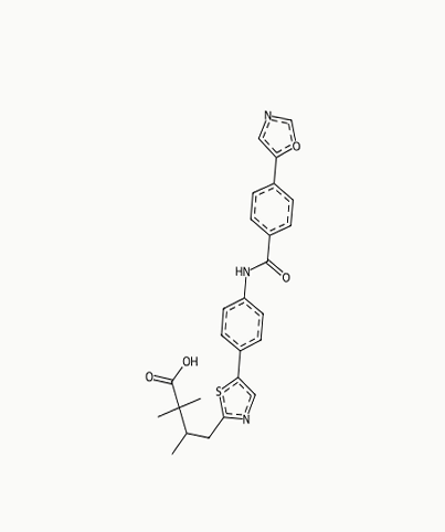 CC(Cc1ncc(-c2ccc(NC(=O)c3ccc(-c4cnco4)cc3)cc2)s1)C(C)(C)C(=O)O